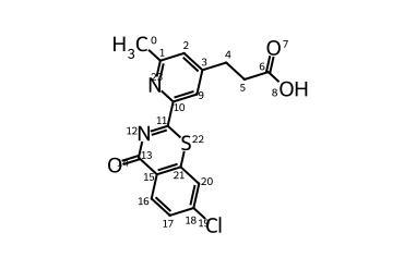 Cc1cc(CCC(=O)O)cc(-c2nc(=O)c3ccc(Cl)cc3s2)n1